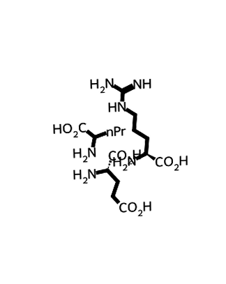 CCCC(N)C(=O)O.N=C(N)NCCC[C@H](N)C(=O)O.N[C@@H](CCC(=O)O)C(=O)O